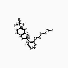 COCCCOc1cnccc1C1=Nc2cc(C(F)(F)F)ccc2C1